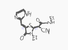 CCNC(=O)/C(C#N)=c1\s/c(=C\c2ncc[nH]2)c(=O)n1CC